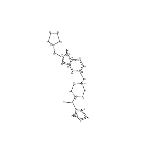 CC(c1ncc[nH]1)N1CCN(Cc2ccc3[nH]c(CN4CCCC4)cc3c2)CC1